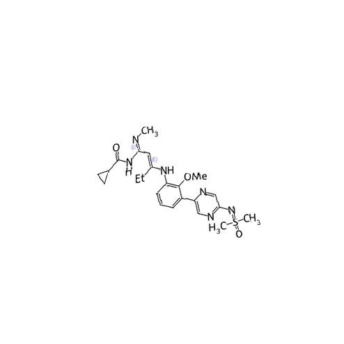 CC/C(=C\C(=N/C)NC(=O)C1CC1)Nc1cccc(-c2cnc(N=S(C)(C)=O)cn2)c1OC